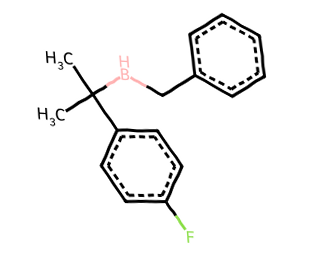 CC(C)(BCc1ccccc1)c1ccc(F)cc1